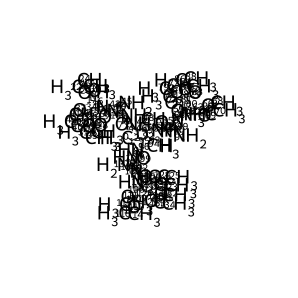 CCc1c(CNC(=O)N[C@@H]2CN(C(=O)NC(CCC(=O)OC(C)(C)C)(CCC(=O)OC(C)(C)C)CCC(=O)OC(C)(C)C)C[C@H]2N)c(CC)c(CNC(=O)N[C@@H]2CN(C(=O)NC(CCC(=O)OC(C)(C)C)(CCC(=O)OC(C)(C)C)CCC(=O)OC(C)(C)C)C[C@H]2N)c(CC)c1CNC(=O)N[C@@H]1CN(C(=O)NC(CCC(=O)OC(C)(C)C)(CCC(=O)OC(C)(C)C)CCC(=O)OC(C)(C)C)C[C@H]1N